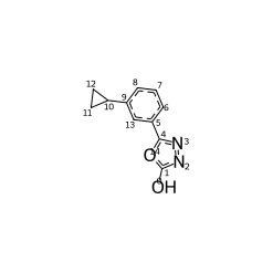 Oc1nnc(-c2cccc(C3CC3)c2)o1